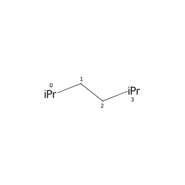 [CH2]C(C)CCC(C)C